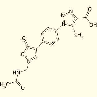 CC(=O)NCn1cc(-c2ccc(-n3nnc(C(=O)O)c3C)cc2)c(=O)o1